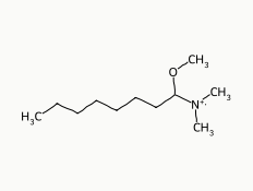 CCCCCCCC(OC)[N+](C)C